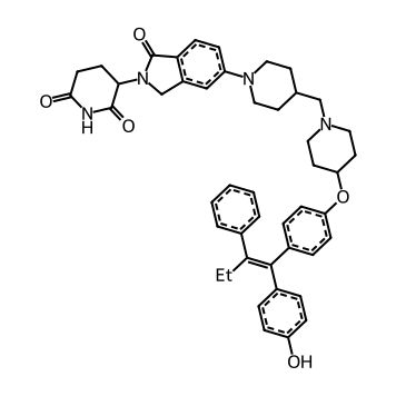 CCC(=C(c1ccc(O)cc1)c1ccc(OC2CCN(CC3CCN(c4ccc5c(c4)CN(C4CCC(=O)NC4=O)C5=O)CC3)CC2)cc1)c1ccccc1